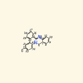 Cc1ccc(N2Cc3ccccc3N=C2c2ccccc2)cc1